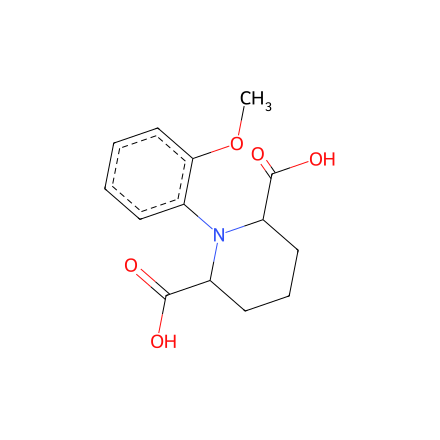 COc1ccccc1N1C(C(=O)O)CCCC1C(=O)O